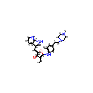 CCC1=C(Nc2ccc(CCN3CCN(C)CC3)cc2C)OC(=Cc2c[nH]c3ncccc23)C1=O